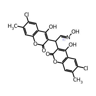 Cc1cc2oc(=O)c(C(/C=N/O)c3c(O)c4cc(Cl)c(C)cc4oc3=O)c(O)c2cc1Cl